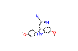 COc1ccc(-c2[nH]c3cc(OC)ccc3c2C=C(C#N)C#N)cc1